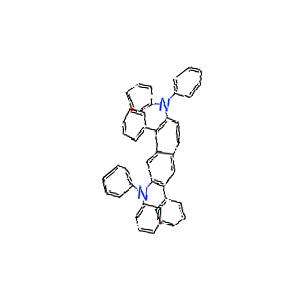 c1ccc(-c2cc3ccc(N(c4ccccc4)c4ccccc4)c(-c4ccccc4)c3cc2N(c2ccccc2)c2ccccc2)cc1